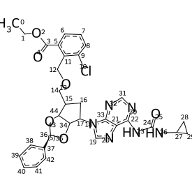 CCOC(=O)c1cccc(Cl)c1COCC1CC(n2cnc3c(NC(=O)NC4CC4)ncnc32)C2O[C@@H](c3ccccc3)OC12